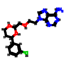 Nc1ncnc2c1ncn2CCOCC1OCCC(c2cccc(Cl)c2)O1